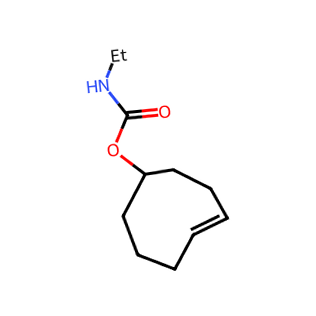 CCNC(=O)OC1CC/C=C/CCC1